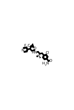 CN(C)C(CNC(=O)CC(c1ccncc1)C1(C(F)(F)F)CC1)Cc1ccc(C(N)=O)cc1Cl